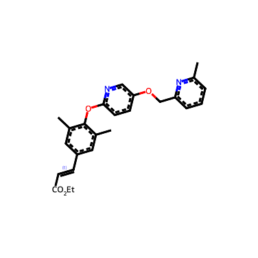 CCOC(=O)/C=C/c1cc(C)c(Oc2ccc(OCc3cccc(C)n3)cn2)c(C)c1